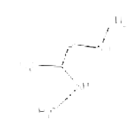 CNSC(C)NC